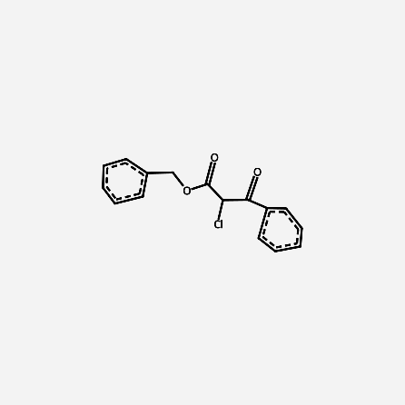 O=C(OCc1ccccc1)C(Cl)C(=O)c1ccccc1